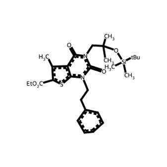 CCOC(=O)c1sc2c(c1C)c(=O)n(CC(C)(C)O[Si](C)(C)C(C)(C)C)c(=O)n2CCc1ccccc1